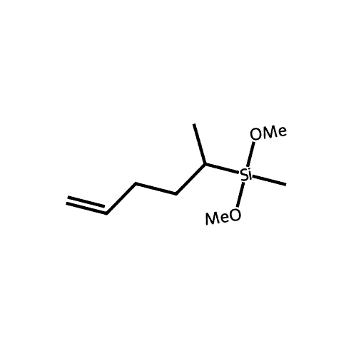 C=CCCC(C)[Si](C)(OC)OC